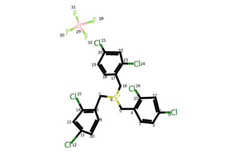 Clc1ccc(C[S+](Cc2ccc(Cl)cc2Cl)Cc2ccc(Cl)cc2Cl)c(Cl)c1.F[B-](F)(F)F